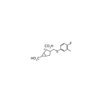 Cc1cc(SCC2CC3C(C(=O)O)C3[C@@H]2C(=O)O)ccc1F